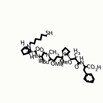 CCC(C)C(C(CC(=O)N1CCC[C@H]1C(OC)C(C)C(=O)NC(Cc1ccccc1)C(=O)O)OC)N(C)C(=O)C(NC(=O)[C@@H]1[C@H]2CC[C@H](C2)N1CCCCCCS)C(C)C